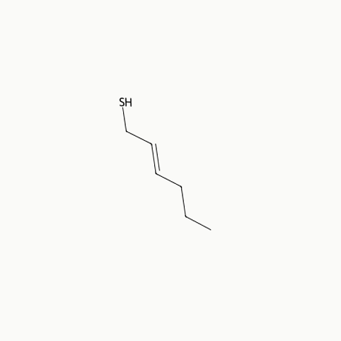 CCCC=CCS